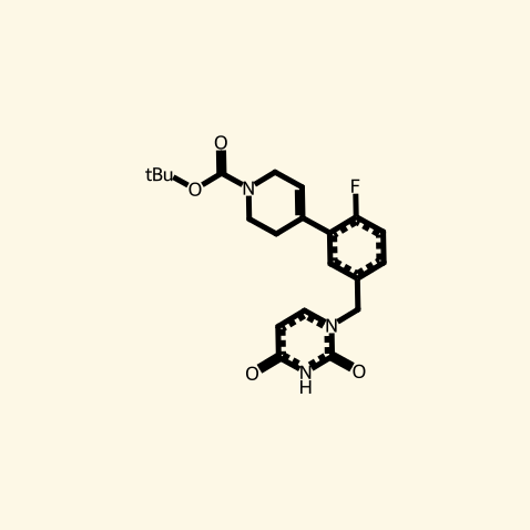 CC(C)(C)OC(=O)N1CC=C(c2cc(Cn3ccc(=O)[nH]c3=O)ccc2F)CC1